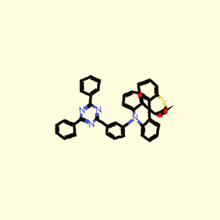 c1ccc(-c2nc(-c3ccccc3)nc(-c3cccc(N4c5ccccc5C5(c6ccccc6Sc6ccccc65)c5ccccc54)c3)n2)cc1